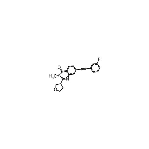 Cn1c(C2CCOC2)nc2cc(C#Cc3cccc(F)c3)ccc2c1=O